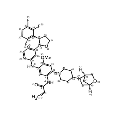 C=CC(=O)Nc1cc(Nc2cc(N3OCC[C@@H]3c3c(F)ccc(F)c3F)ncn2)c(OC)cc1N1CCC(N2C[C@@H]3C[C@H]2CO3)CC1